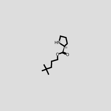 CC(C)(C)CCCOC(=O)[C@@H]1CCCN1